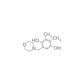 Cc1c(O)cc(CN2CCOCC2)c(O)c1C